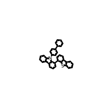 c1ccc(-c2ccc(-n3c4ccccc4c4cccc(-c5cccc6c5sc5ccccc56)c43)cc2)cc1